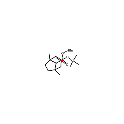 CC(C)(C)OC(=O)N1C2(C)C=C(O[Si](C)(C)C)CC1(C)CC2